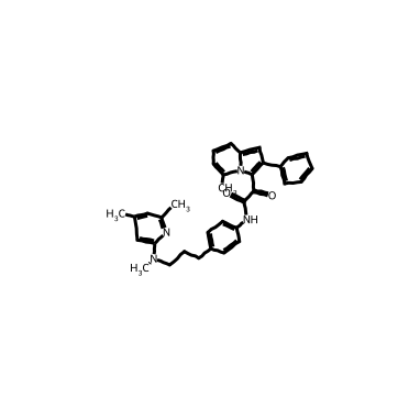 Cc1cc(C)nc(N(C)CCCc2ccc(NC(=O)C(=O)c3c(-c4ccccc4)cc4cccc(C)n34)cc2)c1